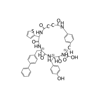 O=C1CCC(=O)NC(c2cccs2)C(=O)N[C@@H](Cc2ccc(-c3ccccc3)cc2)C(=O)N[C@@H](Cc2ccc(O)cc2)C(=O)N[C@H](C(=O)O)Cc2ccc(cc2)N1